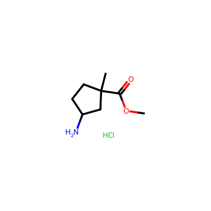 COC(=O)C1(C)CCC(N)C1.Cl